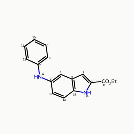 CCOC(=O)c1cc2cc(Nc3ccccc3)ccc2[nH]1